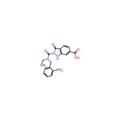 CCN(Cc1ccccc1C)C(=O)n1[nH]c2cc(C(=O)O)ccc2c1=O